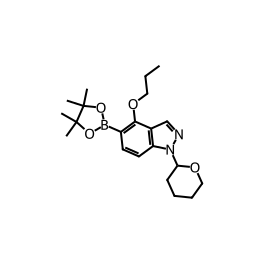 CCCOc1c(B2OC(C)(C)C(C)(C)O2)ccc2c1cnn2C1CCCCO1